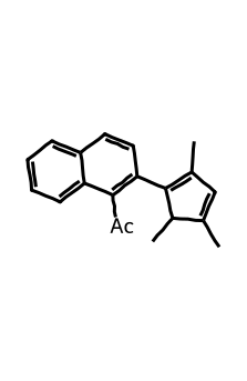 CC(=O)c1c(C2=C(C)C=C(C)C2C)ccc2ccccc12